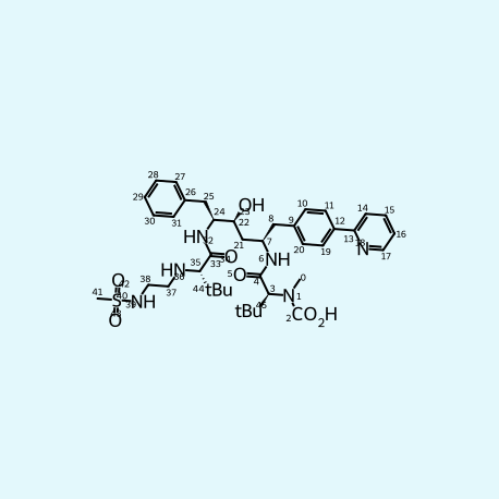 CN(C(=O)O)[C@H](C(=O)N[C@H](Cc1ccc(-c2ccccn2)cc1)C[C@H](O)[C@H](Cc1ccccc1)NC(=O)[C@@H](NCCNS(C)(=O)=O)C(C)(C)C)C(C)(C)C